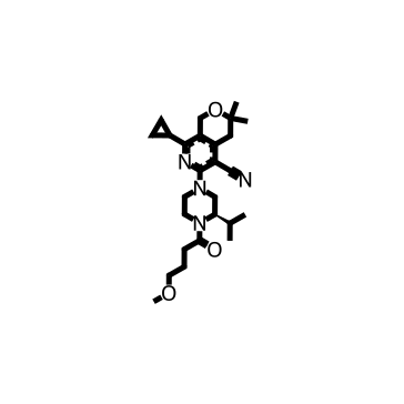 COCCCC(=O)N1CCN(c2nc(C3CC3)c3c(c2C#N)CC(C)(C)OC3)C[C@H]1C(C)C